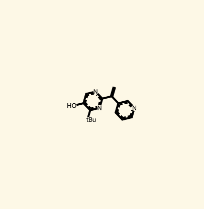 C=C(c1cccnc1)c1ncc(O)c(C(C)(C)C)n1